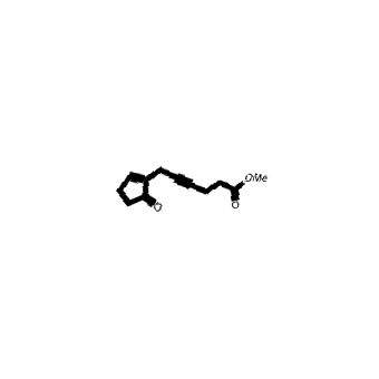 COC(=O)CCC#CCC1=CCCC1=O